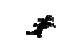 C=CC(=O)Nc1cc(Nc2nccc(C(=O)c3ccc(OC)cc3OC(C)C)n2)c(OC)cc1N(C)CCN(C)C